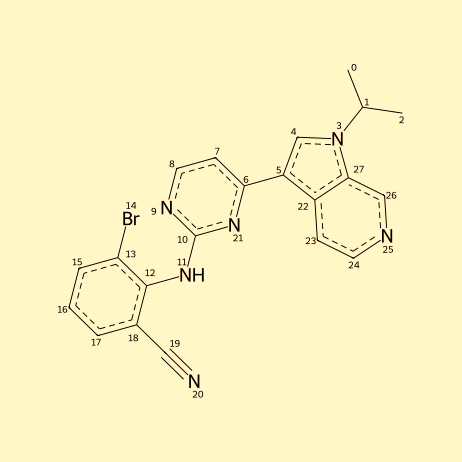 CC(C)n1cc(-c2ccnc(Nc3c(Br)cccc3C#N)n2)c2ccncc21